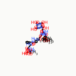 CC(C)(C)[Si](O)(c1ccc(C(=O)NC[C@@H](NC(=O)CC[C@@H](C(=O)O)N2CCN(CC(=O)O)CCN(CC(=O)O)CCN(CC(=O)O)CC2)C(=O)NCCOCCC(=O)NC[C@H]2CC[C@H](C(=O)N[C@@H](Cc3ccc4ccccc4c3)C(=O)NCCCCC(NC(=O)N[C@](C)(CCC(=O)O)C(=O)O)C(=O)O)CC2)cc1)C(C)(C)C